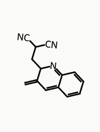 C=C1C=c2ccccc2=NC1CC(C#N)C#N